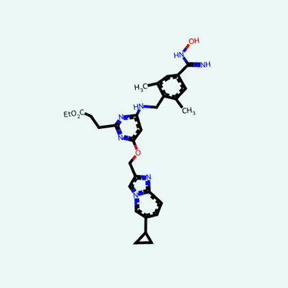 CCOC(=O)CCc1nc(NCc2c(C)cc(C(=N)NO)cc2C)cc(OCc2cn3cc(C4CC4)ccc3n2)n1